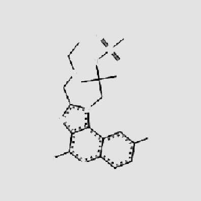 CCOCc1nc2c(N)nc3ccc(O)cc3c2n1CC(C)(C)NS(C)(=O)=O